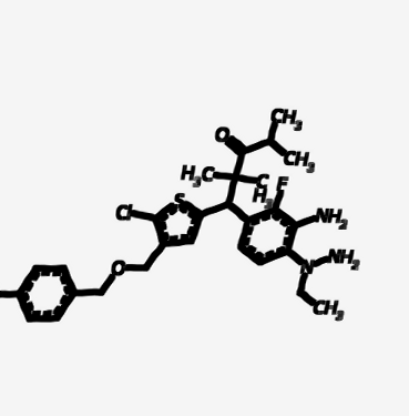 CCN(N)c1ccc(C(c2cc(COCc3ccc(OC)cc3)c(Cl)s2)C(C)(C)C(=O)C(C)C)c(F)c1N